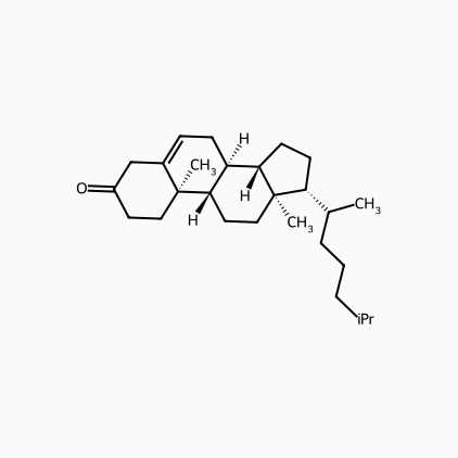 CC(C)CCCC(C)[C@H]1CC[C@H]2[C@@H]3CC=C4CC(=O)CC[C@]4(C)[C@H]3CC[C@]12C